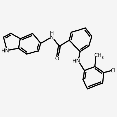 Cc1c(Cl)cccc1Nc1ccccc1C(=O)Nc1ccc2[nH]ccc2c1